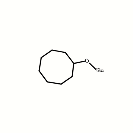 CCC(C)OC1CCCCCCC1